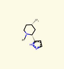 CC(C)N1CC[C@H](C(F)(F)F)C[C@@H]1c1ccn[nH]1